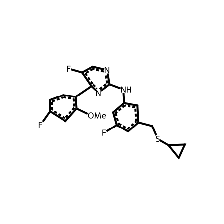 COc1cc(F)ccc1-c1nc(Nc2cc(F)cc(CSC3CC3)c2)ncc1F